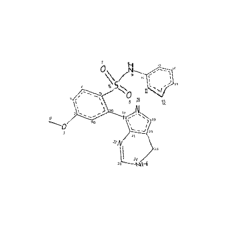 COc1ccc(S(=O)(=O)Nc2ccccc2)c(-n2ncc3c2N=CNC3)c1